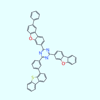 c1ccc(-c2ccc3oc4cc(-c5nc(-c6cccc(-c7cccc8c7sc7ccccc78)c6)nc(-c6ccc7c(c6)oc6ccccc67)n5)ccc4c3c2)cc1